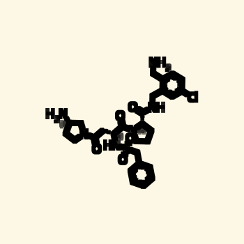 NCc1ccc(Cl)cc1CNC(=O)[C@@H]1CCCN1C(=O)[C@@H](CC(=O)N1CC[C@@H](N)C1)NS(=O)(=O)Cc1ccccc1